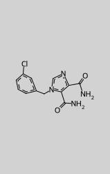 NC(=O)c1ncn(Cc2cccc(Cl)c2)c1C(N)=O